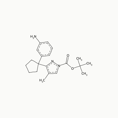 Cc1cn(C(=O)OC(C)(C)C)nc1C1(c2cccc(N)c2)CCCC1